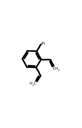 C=Cc1cccc(C(C)C)c1C=C